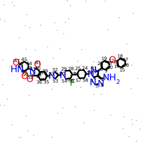 Nc1ncnc2c1c(-c1ccc(Oc3ccccc3)cc1)nn2C1CCC(C2CCN(C3CN(c4ccc5c(c4)C(=O)N(C4CCC(=O)NC4=O)C5=O)C3)CC2F)CC1